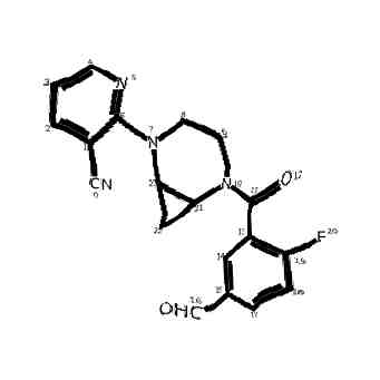 N#Cc1cccnc1N1CCN(C(=O)c2cc(C=O)ccc2F)C2CC21